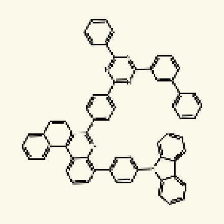 c1ccc(-c2cccc(-c3nc(-c4ccccc4)nc(-c4ccc(-c5nc6c(-c7ccc(-n8c9ccccc9c9ccccc98)cc7)cccc6c6c5ccc5ccccc56)cc4)n3)c2)cc1